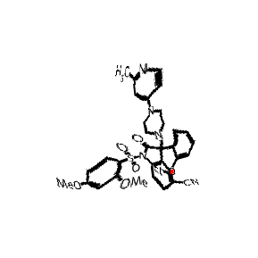 CCOc1ccccc1C1(N2CCN(c3ccnc(C)c3)CC2)C(=O)N(S(=O)(=O)c2ccc(OC)cc2OC)c2ccc(C#N)cc21